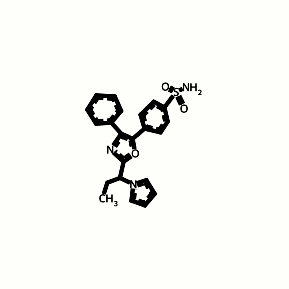 CCC(c1nc(-c2ccccc2)c(-c2ccc(S(N)(=O)=O)cc2)o1)n1cccc1